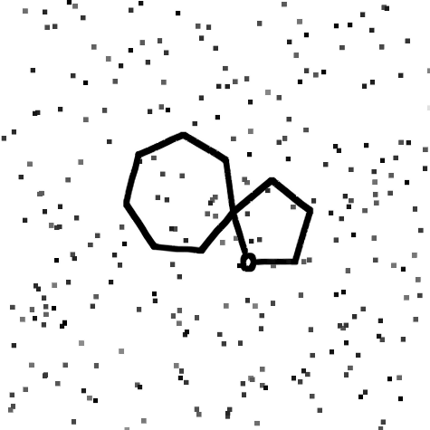 C1CCCC2(CC1)CCCO2